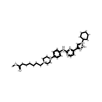 COC(=O)CCCCCCN1CCN(c2ccc(Nc3nccc(-c4cn(C5CCCCC5)nn4)n3)cc2)CC1